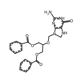 Nc1nc2c(c(=O)[nH]1)NCN2COC(COC(=O)c1ccccc1)COC(=O)c1ccccc1